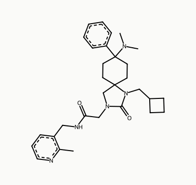 Cc1ncccc1CNC(=O)CN1CC2(CCC(c3ccccc3)(N(C)C)CC2)N(CC2CCC2)C1=O